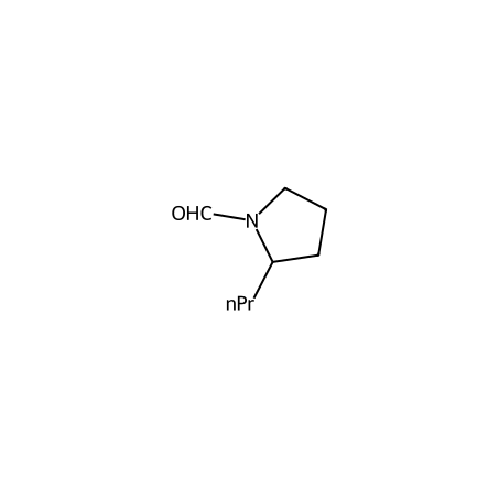 CCCC1CCCN1C=O